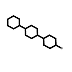 FC1CCC(C2CCC(C3CCCCC3)CC2)CC1